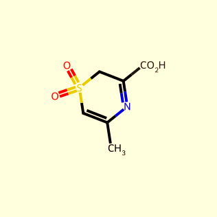 CC1=CS(=O)(=O)CC(C(=O)O)=N1